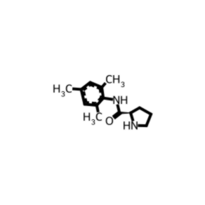 Cc1cc(C)c(NC(=O)[C@H]2CCCN2)c(C)c1